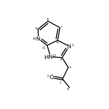 CC(=O)Cc1nc2cccnc2[nH]1